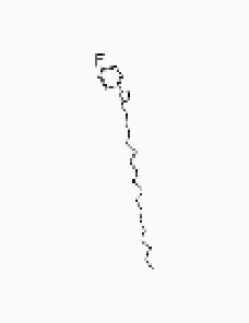 CCCCCCCCCCCCCCCCCCOc1ccc(F)cc1